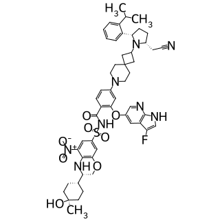 CC(C)c1ccccc1[C@@H]1CC[C@H](CC#N)N1C1CC2(CCN(c3ccc(C(=O)NS(=O)(=O)c4cc5c(c([N+](=O)[O-])c4)N[C@@H]([C@H]4CC[C@](C)(O)CC4)CO5)c(Oc4cnc5[nH]cc(F)c5c4)c3)CC2)C1